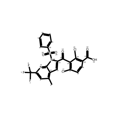 Cc1cc(C(F)(F)F)nc2c1cc(C(=O)c1c(Cl)ccc(C(=O)O)c1Cl)n2S(=O)(=O)c1ccccc1